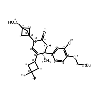 CC(C)(C)COc1ccc([C@]2(C)NC(=O)N(C34CC(C(=O)O)(C3)C4)C=C2C2CC(F)(F)C2)cc1Cl